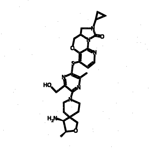 Cc1nc(N2CCC3(CC2)CO[C@@H](C)[C@H]3N)c(CO)nc1Sc1ccnc2c1OCC1CN(C3CC3)C(=O)N21